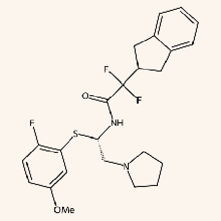 COc1ccc(F)c(S[C@@H](CN2CCCC2)NC(=O)C(F)(F)C2Cc3ccccc3C2)c1